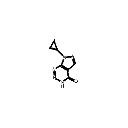 O=c1[nH]nnc2c1cnn2C1CC1